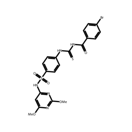 COc1cc(NS(=O)(=O)c2ccc(NC(=S)NC(=O)c3ccc(Br)cc3)cc2)nc(OC)n1